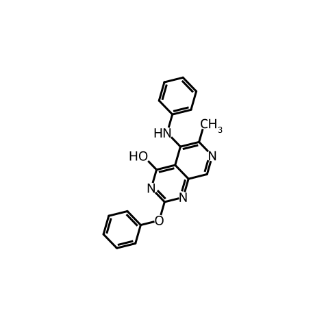 Cc1ncc2nc(Oc3ccccc3)nc(O)c2c1Nc1ccccc1